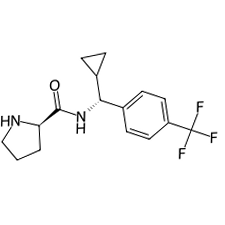 O=C(N[C@@H](c1ccc(C(F)(F)F)cc1)C1CC1)[C@H]1CCCN1